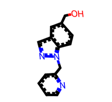 OCc1ccc2c(cnn2Cc2ccccn2)c1